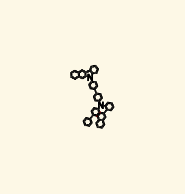 c1ccc(-c2ccc(N(c3ccc(-c4ccc(-n5c6ccccc6c6cc7ccccc7cc65)cc4)cc3)c3ccccc3-c3ccc4ccccc4c3)cc2)cc1